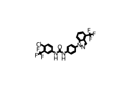 O=C(Nc1ccc(-n2ncc3c(C(F)(F)F)cccc32)cc1)Nc1ccc(Cl)c(C(F)(F)F)c1